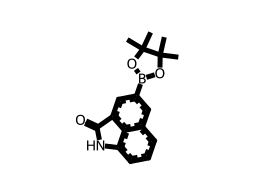 CC1(C)OB(c2cc3c4c(cccc4c2)NC3=O)OC1(C)C